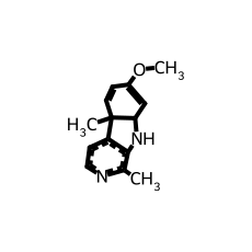 COC1=CC2Nc3c(ccnc3C)C2(C)C=C1